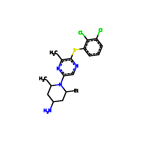 CCC1CC(N)CC(C)N1c1cnc(Sc2cccc(Cl)c2Cl)c(C)n1